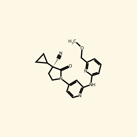 COCc1cccc(Nc2cc(N3CC[C@@](C#N)(C4CC4)C3=O)ccn2)n1